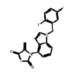 C=C1C(=O)SC(=O)N1c1cccc2c1ccn2Cc1cc(F)ccc1F